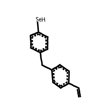 C=Cc1ccc(Cc2ccc([SeH])cc2)cc1